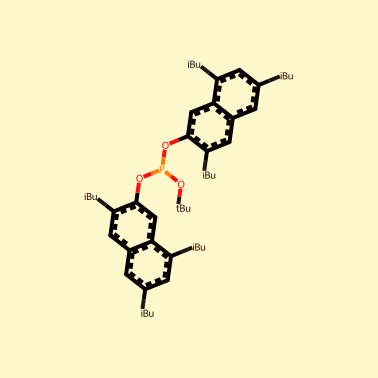 CCC(C)c1cc(C(C)CC)c2cc(OP(Oc3cc4c(C(C)CC)cc(C(C)CC)cc4cc3C(C)CC)OC(C)(C)C)c(C(C)CC)cc2c1